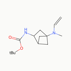 C=CN(C)C12CC(C1)C(NC(=O)OC(C)(C)C)C2